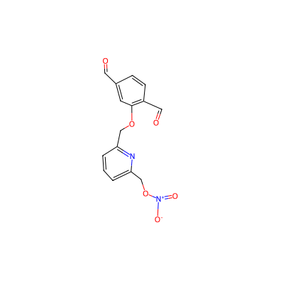 O=Cc1ccc(C=O)c(OCc2cccc(CO[N+](=O)[O-])n2)c1